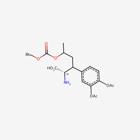 CCC(C)OC(=O)OC(C)CC(c1ccc(OC(C)=O)c(OC(C)=O)c1)[C@H](N)C(=O)O